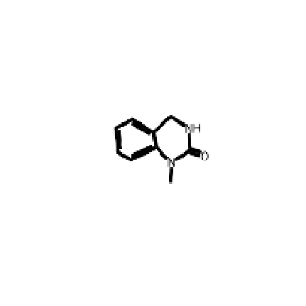 CN1C(=O)NCc2ccccc21